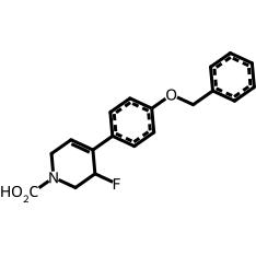 O=C(O)N1CC=C(c2ccc(OCc3ccccc3)cc2)C(F)C1